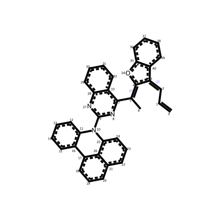 C=C/C=c1\c(=C(/C)c2nc(N3c4ccccc4-c4cccc5cccc3c45)nc3ccccc23)oc2ccccc12